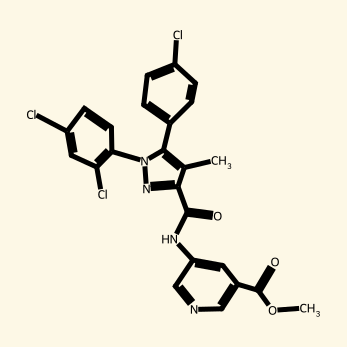 COC(=O)c1cncc(NC(=O)c2nn(-c3ccc(Cl)cc3Cl)c(-c3ccc(Cl)cc3)c2C)c1